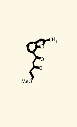 COC=CC(=O)CC(=O)c1cccc2cc(C)oc12